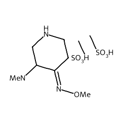 CNC1CNCCC1=NOC.CS(=O)(=O)O.CS(=O)(=O)O